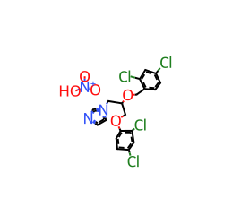 Clc1ccc(COC(COc2ccc(Cl)cc2Cl)Cn2ccnc2)c(Cl)c1.O=[N+]([O-])O